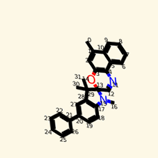 Cc1cc2c(c3ccccc13)N=CC1(O2)N(C)c2ccc(-c3ccccc3)cc2C1(C)C